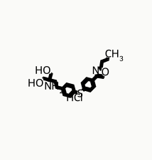 CCCc1nc(-c2ccc(Sc3ccc(CCC(N)(CO)CO)cc3)cc2)co1.Cl